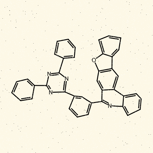 c1ccc(-c2nc(-c3ccccc3)nc(-c3cccc(-c4nc5ccccc5c5cc6c(cc45)oc4ccccc46)c3)n2)cc1